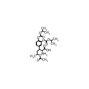 CC(=O)OC(C)CC(c1ccc(OC(=O)OC(C)C)c(OC(=O)OC(C)C)c1)[C@H](N)C(=O)O